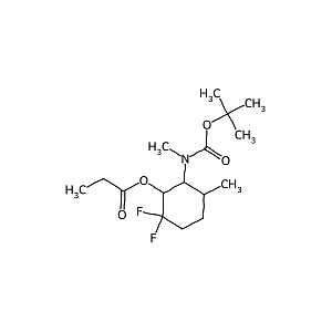 CCC(=O)OC1C(N(C)C(=O)OC(C)(C)C)C(C)CCC1(F)F